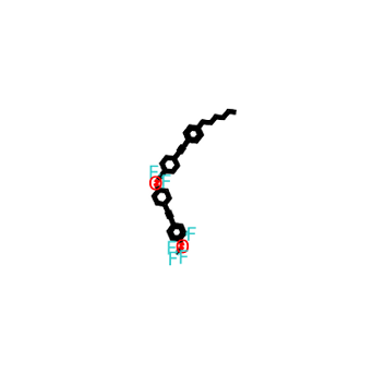 CCCCCCc1ccc(C#CC2CCC(C(F)(F)OC3CCC(C#Cc4ccc(OC(F)(F)F)c(F)c4)CC3)CC2)cc1